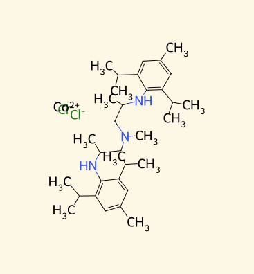 Cc1cc(C(C)C)c(NC(C)CN(C)CC(C)Nc2c(C(C)C)cc(C)cc2C(C)C)c(C(C)C)c1.[Cl-].[Cl-].[Co+2]